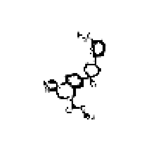 Cc1cccc(C2CCC(Cl)(c3ccc4c(c3)CN(C(=O)OC(C)(C)C)Cc3nncn3-4)CC2)n1